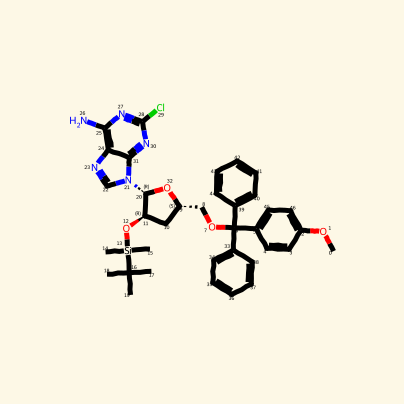 COc1ccc(C(OC[C@@H]2C[C@@H](O[Si](C)(C)C(C)(C)C)[C@H](n3cnc4c(N)nc(Cl)nc43)O2)(c2ccccc2)c2ccccc2)cc1